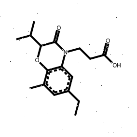 CCc1cc(C)c2c(c1)N(CCC(=O)O)C(=O)C(C(C)C)O2